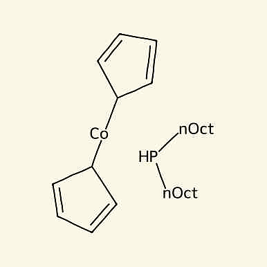 C1=C[CH]([Co][CH]2C=CC=C2)C=C1.CCCCCCCCPCCCCCCCC